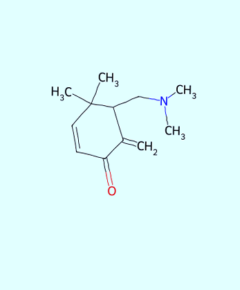 C=C1C(=O)C=CC(C)(C)C1CN(C)C